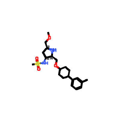 COC[C@@H]1C[C@H](NS(C)(=O)=O)[C@H](COC2CCC(c3cccc(C)c3)CC2)N1